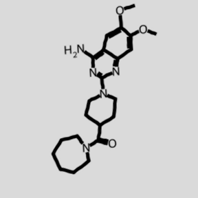 COc1cc2nc(N3CCC(C(=O)N4CCCCCC4)CC3)nc(N)c2cc1OC